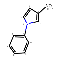 O=[N+]([O-])c1ccn(-c2ccccc2)c1